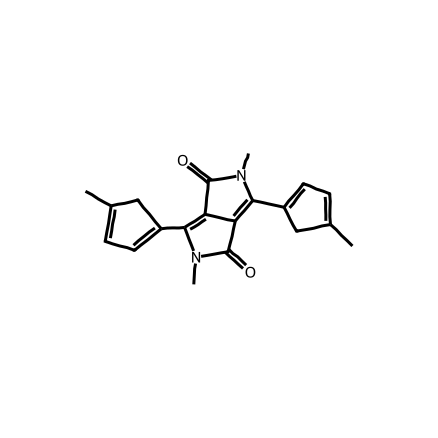 CC1=CC=C(C2=C3C(=O)N(C)C(C4=CC=C(C)C4)=C3C(=O)N2C)C1